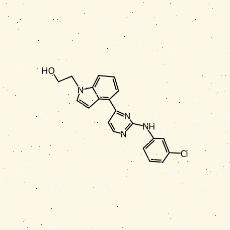 OCCn1ccc2c(-c3ccnc(Nc4cccc(Cl)c4)n3)cccc21